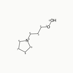 OOCCCN1CCCC1